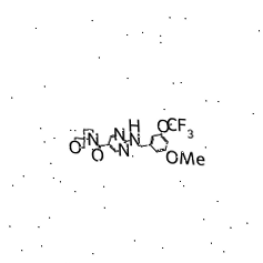 COc1cc(CNc2ncc(C(=O)N3CCC34COC4)cn2)cc(OC(F)(F)F)c1